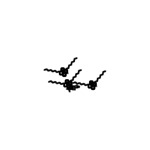 CC(C)[O][Ti+3].CCCCCCCCOP(=O)([O-])OCCCCCCCC.CCCCCCCCOP(=O)([O-])OCCCCCCCC.CCCCCCCCOP(=O)([O-])OCCCCCCCC